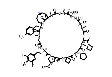 CCO[C@@H]1C[C@H]2C(=O)NC3(CCC3)C(=O)N(C)[C@@H](C3CCCC3)C(=O)N(C)[C@H](C(=O)N3CCC3)CC(=O)N(C)[C@@H](CC)C(=O)N[C@@H]([C@@H](C)CC)C(=O)N(C)CC(=O)N(C)[C@H]3C/C=C\CCN(C3=O)[C@@H](Cc3ccc(C(F)(F)F)cc3)C(=O)N(C)CC(=O)N[C@@H](CCc3cc(F)c(C(F)(F)F)c(F)c3)C(=O)N2C1